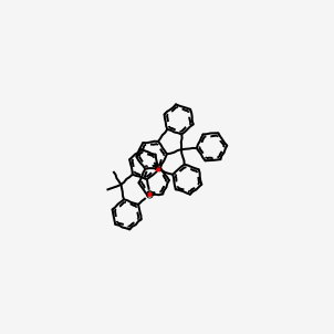 CC1(C)c2ccccc2Oc2c(-c3ccccc3C3(c4ccccc4)c4ccccc4-c4ccc5ccccc5c43)cccc21